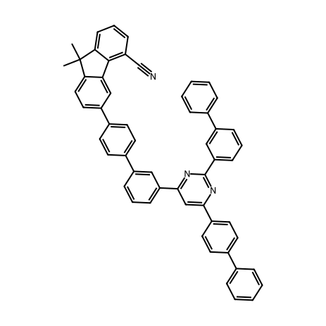 CC1(C)c2ccc(-c3ccc(-c4cccc(-c5cc(-c6ccc(-c7ccccc7)cc6)nc(-c6cccc(-c7ccccc7)c6)n5)c4)cc3)cc2-c2c(C#N)cccc21